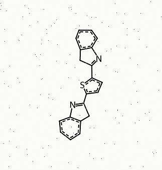 c1ccc2c(c1)CC(c1ccc(C3=Nc4ccccc4C3)s1)=N2